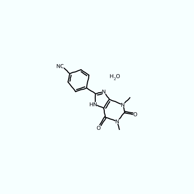 Cn1c(=O)c2[nH]c(-c3ccc(C#N)cc3)nc2n(C)c1=O.O